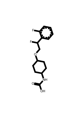 O=C(O)NC1CCC(OCC(F)c2ccccc2F)CC1